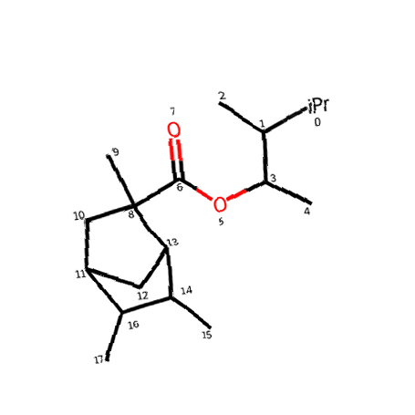 CC(C)C(C)C(C)OC(=O)C1(C)CC2CC1C(C)C2C